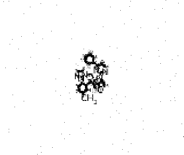 Cc1ccc(-n2nccn2)c(C(=O)N2CC3COC2=CCN3c2nccc(-c3ccccc3)n2)c1